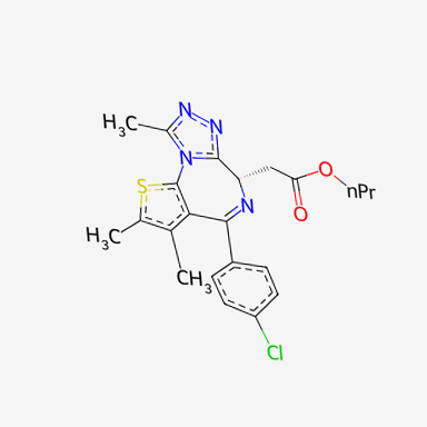 CCCOC(=O)C[C@@H]1N=C(c2ccc(Cl)cc2)c2c(sc(C)c2C)-n2c(C)nnc21